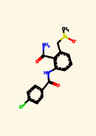 C[S+]([O-])Cc1cccc(NC(=O)c2ccc(Cl)cc2)c1C(N)=O